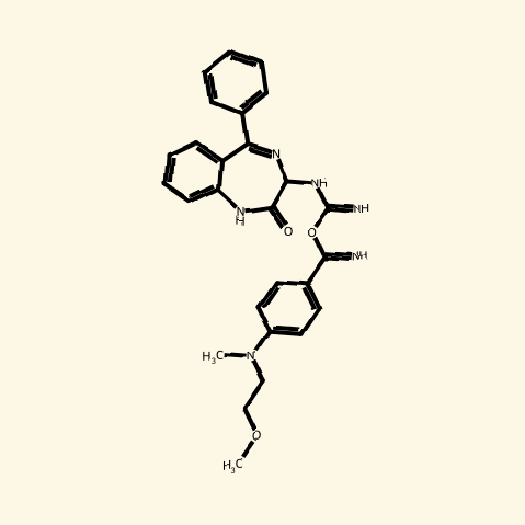 COCCN(C)c1ccc(C(=N)OC(=N)NC2N=C(c3ccccc3)c3ccccc3NC2=O)cc1